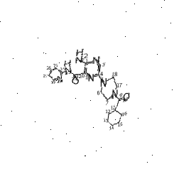 Nc1ncc(N2CCN(C(=O)C3CCCCC3)CC2)nc1C(=O)Nc1ccccn1